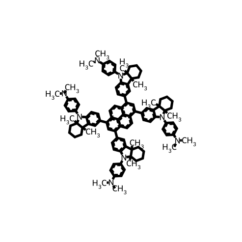 CN(C)c1ccc(N2c3ccc(-c4cc(-c5ccc6c(c5)C5(C)CCCCC5(C)N6c5ccc(N(C)C)cc5)c5ccc6c(-c7ccc8c(c7)C7(C)CCCCC7(C)N8c7ccc(N(C)C)cc7)cc(-c7ccc8c(c7)C7(C)CCCCC7(C)N8c7ccc(N(C)C)cc7)c7ccc4c5c76)cc3C3(C)CCCCC23C)cc1